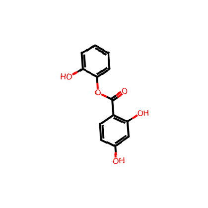 O=C(Oc1ccccc1O)c1ccc(O)cc1O